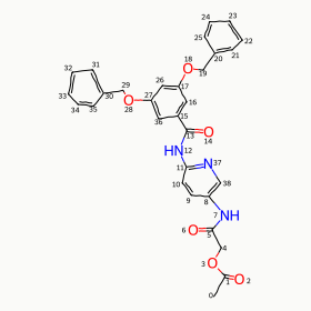 CC(=O)OCC(=O)Nc1ccc(NC(=O)c2cc(OCc3ccccc3)cc(OCc3ccccc3)c2)nc1